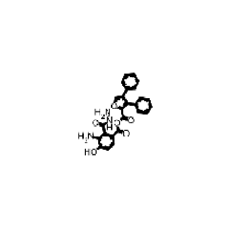 NNC(=O)c1c(C(=O)OC(=O)c2occ(-c3ccccc3)c2-c2ccccc2)ccc(O)c1N